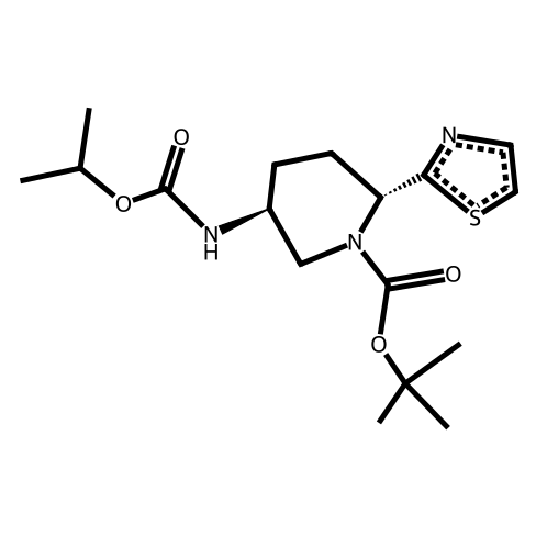 CC(C)OC(=O)N[C@H]1CC[C@H](c2nccs2)N(C(=O)OC(C)(C)C)C1